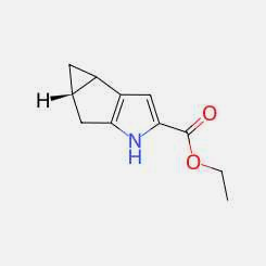 CCOC(=O)c1cc2c([nH]1)C[C@@H]1CC21